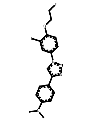 CN(C)c1ccc(-c2cn(-c3ccc(OCCF)c(I)c3)nn2)cc1